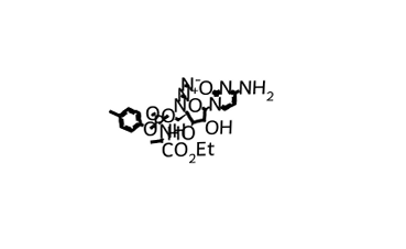 CCOC(=O)[C@H](C)NP(=O)(OC[C@@]1(N=[N+]=[N-])O[C@@H](n2ccc(N)nc2=O)[C@H](O)[C@@H]1O)Oc1ccc(C)cc1